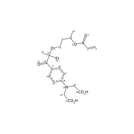 C=CC(=O)OC(C)CCOC(C)(CC)C(=O)c1ccc(N(CC(=O)O)CC(=O)O)cc1